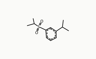 CC(C)c1cccc(S(=O)(=O)C(C)C)c1